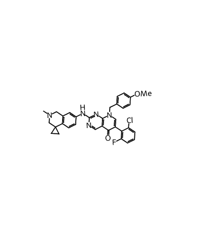 COc1ccc(Cn2cc(-c3c(F)cccc3Cl)c(=O)c3cnc(Nc4ccc5c(c4)CN(C)CC54CC4)nc32)cc1